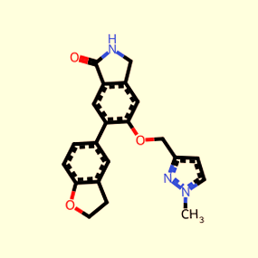 Cn1ccc(COc2cc3c(cc2-c2ccc4c(c2)CCO4)C(=O)NC3)n1